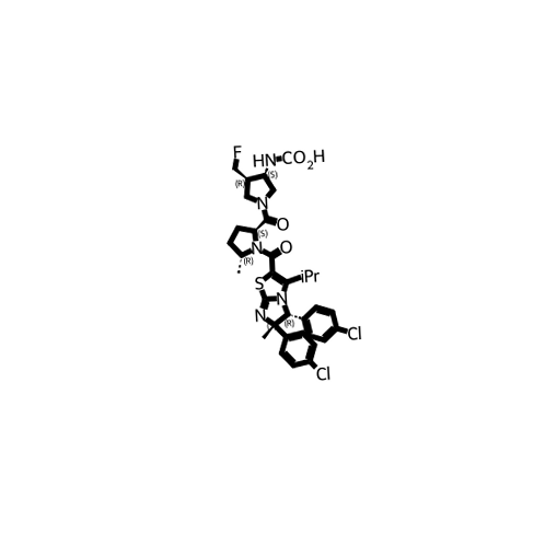 CC(C)C1=C(C(=O)N2[C@H](C)CC[C@H]2C(=O)N2C[C@@H](CF)[C@H](NC(=O)O)C2)SC2=N[C@@](C)(c3ccc(Cl)cc3)[C@@H](c3ccc(Cl)cc3)N21